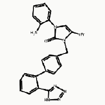 CCCc1cn(-c2ccccc2N)c(=O)n1Cc1ccc(-c2ccccc2-c2nnn[nH]2)cc1